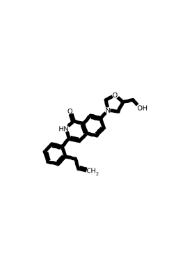 C=CCc1ccccc1-c1cc2ccc(N3COC(CO)C3)cc2c(=O)[nH]1